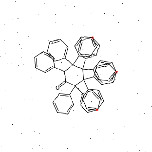 O=C1C(c2ccccc2)C(c2ccccc2)(c2ccccc2)C(c2ccccc2)(c2ccccc2)C(c2ccccc2)(c2ccccc2)C1(c1ccccc1)c1ccccc1